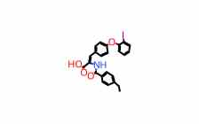 CCc1ccc(C(=O)N/C(=C\c2ccc(Oc3ccccc3I)cc2)C(=O)O)cc1